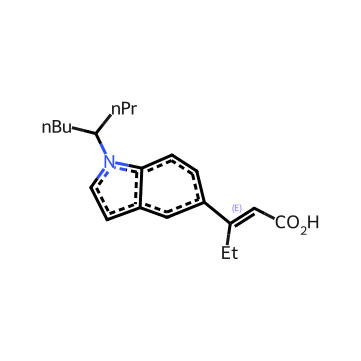 CCCCC(CCC)n1ccc2cc(/C(=C/C(=O)O)CC)ccc21